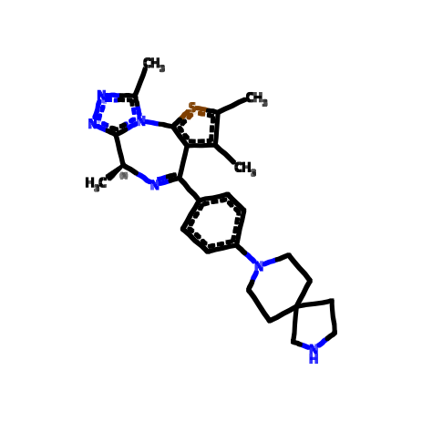 Cc1sc2c(c1C)C(c1ccc(N3CCC4(CCNC4)CC3)cc1)=N[C@@H](C)c1nnc(C)n1-2